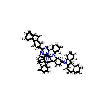 C1=CCC2C=C3C(=CC2=C1)N(c1ccccc1C1=NC(c2ccc4c(ccc5ccccc54)c2)=NC(c2ccc4ccccc4c2)N1)C1CC(n2c4c(c5ccccc52)C2CCC=CC2C=C4)C=CC31